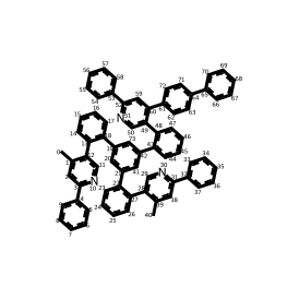 Cc1cc(-c2ccccc2)ncc1-c1ccccc1-c1cc(-c2ccccc2-c2cnc(-c3ccccc3)cc2C)cc(-c2ccccc2-c2cnc(-c3ccccc3)cc2-c2ccc(-c3ccccc3)cc2)c1